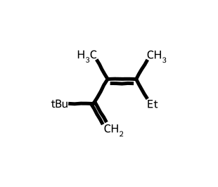 C=C(/C(C)=C(/C)CC)C(C)(C)C